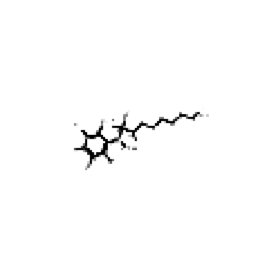 CCCCP(c1c(F)c(F)c(F)c(F)c1F)C(F)(F)C(F)CCCCCCC(F)(F)F